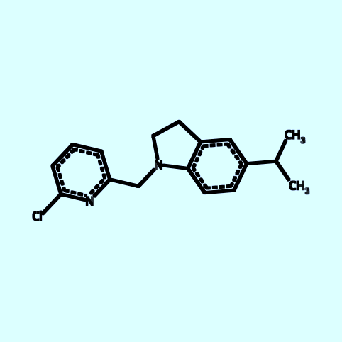 CC(C)c1ccc2c(c1)CCN2Cc1cccc(Cl)n1